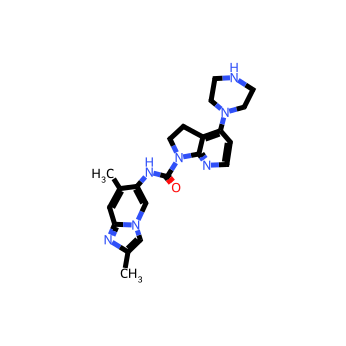 Cc1cn2cc(NC(=O)N3CCc4c(N5CCNCC5)ccnc43)c(C)cc2n1